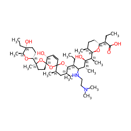 CC[C@@H](C(=O)O)[C@H]1CC[C@H](C)[C@H]([C@@H](C)[C@H](O)[C@H](C)C(NCCN(C)C)[C@H](CC)[C@H]2OC3(C=C[C@@H](O)[C@]4(CC[C@@](C)([C@H]5CC[C@](O)(CC)[C@H](C)O5)O4)O3)[C@H](C)C[C@@H]2C)O1